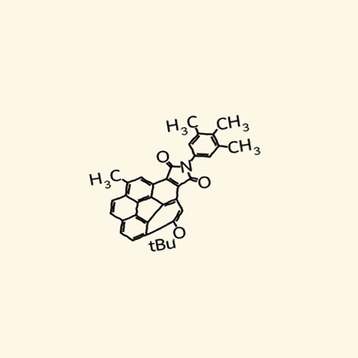 Cc1cc(-n2c(=O)c3c4cc(C)c5ccc6ccc7c(OC(C)(C)C)cc(c3c2=O)c2c7c6c5c42)cc(C)c1C